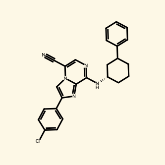 N#Cc1cnc(N[C@H]2CCCC(c3ccccc3)C2)c2nc(-c3ccc(Cl)cc3)cn12